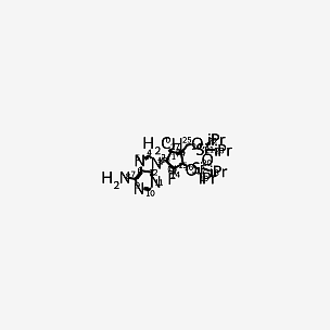 C=C1[C@@H](n2cnc3c(N)ncnc32)[C@H](F)C2O[Si](C(C)C)(C(C)C)O[Si](C(C)C)(C(C)C)OC[C@@H]12